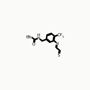 CC(C)(C)C(=O)NCc1ccc(C(F)(F)F)c(N=CC=S)c1